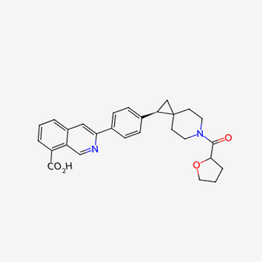 O=C(O)c1cccc2cc(-c3ccc([C@H]4CC45CCN(C(=O)C4CCCO4)CC5)cc3)ncc12